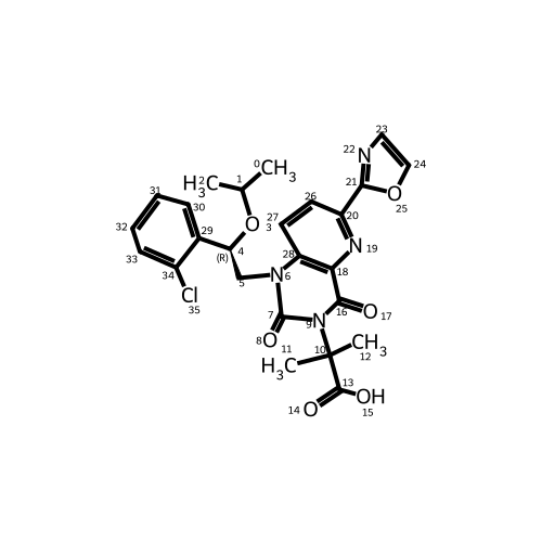 CC(C)O[C@@H](Cn1c(=O)n(C(C)(C)C(=O)O)c(=O)c2nc(-c3ncco3)ccc21)c1ccccc1Cl